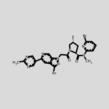 CC(=O)c1nn(CC(=O)N2C[C@H](F)C[C@H]2C(=O)N(C)c2cccc(Br)n2)c2cnc(-c3cnc(C)nc3)cc12